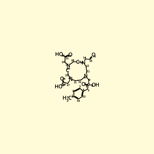 Cc1ccc(CP(=O)(O)CN2CCN(CC=O)CCN(CC(=O)O)CCN(CC(=O)O)CC2)cc1